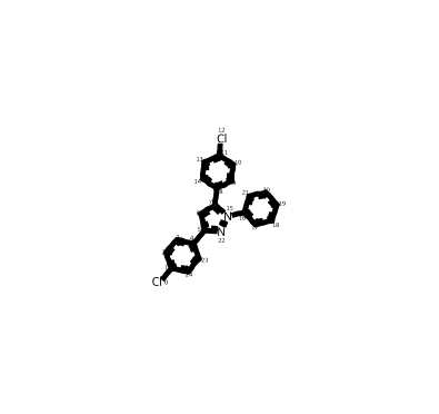 Clc1ccc(-c2cc(-c3ccc(Cl)cc3)n(-c3ccccc3)n2)cc1